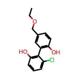 CCOCc1ccc(O)c(-c2c(O)cccc2Cl)c1